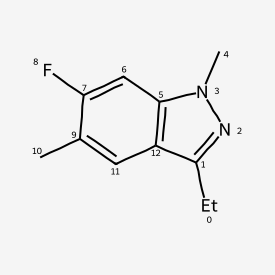 CCc1nn(C)c2cc(F)c(C)cc12